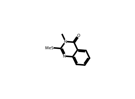 CSc1nc2ccccc2c(=O)n1C